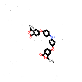 C=C1OC(=O)c2ccc(Oc3ccc(Nc4ccc(Oc5ccc6c(c5)C(=C)OC6=O)cc4)cc3)cc21